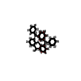 CC12c3ccccc3C(c3c(P(c4ccccc4)c4ccccc4)cccc31)c1c(P(c3ccccc3)c3ccccc3)cccc12